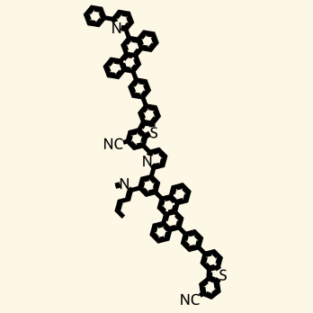 C=N/C(=C\C=C/C)c1cc(-c2cccc(-c3cc(C#N)cc4c3sc3ccc(-c5ccc(-c6cc7c8ccccc8c(-c8cccc(-c9ccccc9)n8)cc7c7ccccc67)cc5)cc34)n2)cc(-c2cc3c4ccccc4c(-c4ccc(-c5ccc6sc7ccc(C#N)cc7c6c5)cc4)cc3c3ccccc23)c1